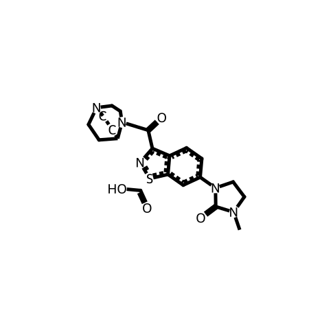 CN1CCN(c2ccc3c(C(=O)N4CCN5CCC4CC5)nsc3c2)C1=O.O=CO